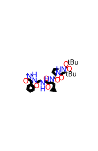 CN(C)C(=O)C(NC(=O)CNC(=O)C(=O)C(CC1CC1)NC(=O)[C@@H]1CCCN1C(=O)C(NC(=O)OC(C)(C)C)C(C)(C)C)c1ccccc1